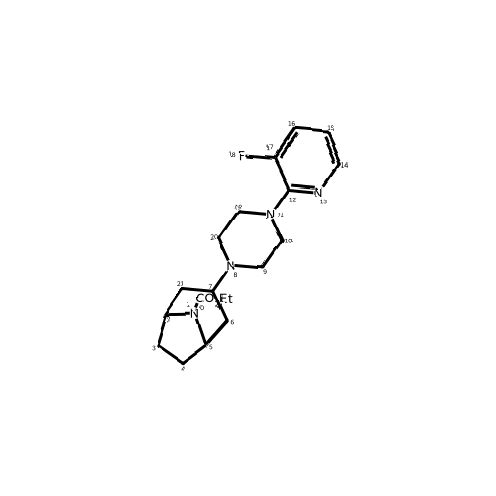 CCOC(=O)N1C2CCC1CC(N1CCN(c3ncccc3F)CC1)C2